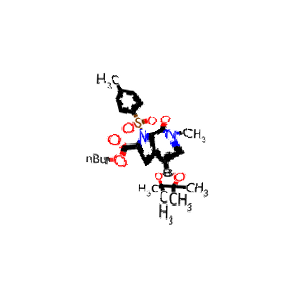 CCCCOC(=O)c1cc2c(B3OC(C)(C)C(C)(C)O3)cn(C)c(=O)c2n1S(=O)(=O)c1ccc(C)cc1